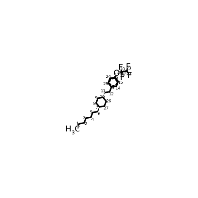 CCCCCCC[C@H]1CC[C@H](CCc2ccc(OC(F)(F)C(F)F)cc2)CC1